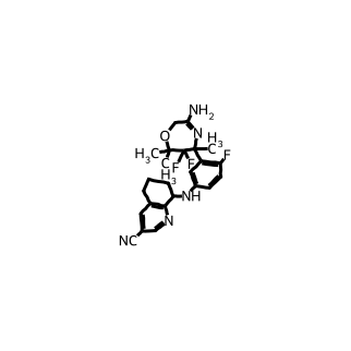 CC1(C)OCC(N)=NC(C)(c2cc(NC3CCCc4cc(C#N)cnc43)ccc2F)C1(F)F